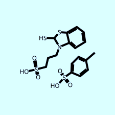 Cc1ccc(S(=O)(=O)O)cc1.O=S(=O)(O)CCCN1c2ccccc2SC1S